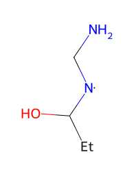 CCC(O)[N]CN